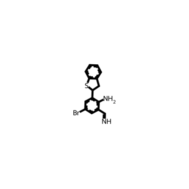 N=Cc1cc(Br)cc(C2Cc3ccccc3S2)c1N